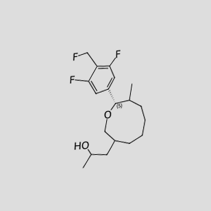 CC(O)CC1CCCCC(C)[C@@H](c2cc(F)c(CF)c(F)c2)OC1